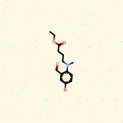 CCOC(=O)CCCN(C)c1ccc(Br)cc1C=O